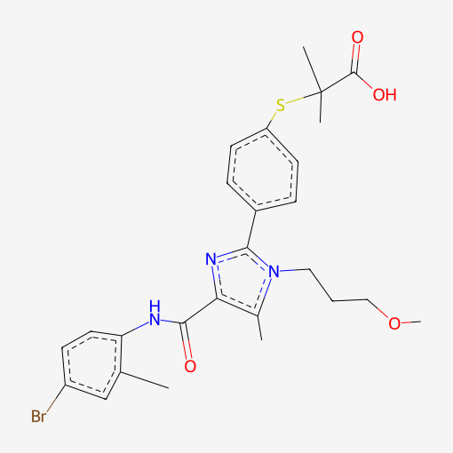 COCCCn1c(-c2ccc(SC(C)(C)C(=O)O)cc2)nc(C(=O)Nc2ccc(Br)cc2C)c1C